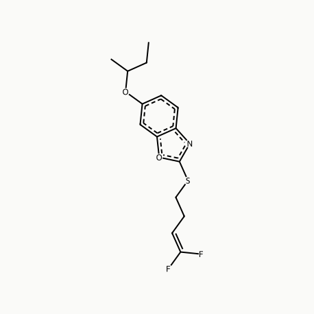 CCC(C)Oc1ccc2nc(SCCC=C(F)F)oc2c1